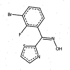 ON=C(c1nccs1)c1cccc(Br)c1F